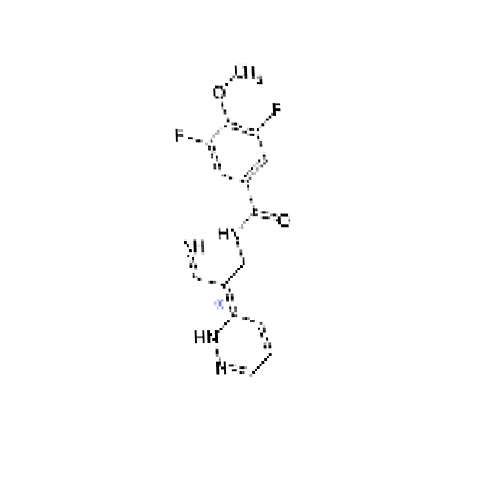 COc1c(F)cc(C(=O)NC/C(C=N)=C2\C=CC=NN2)cc1F